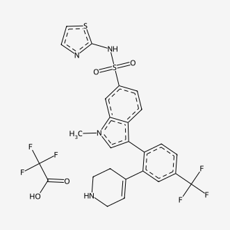 Cn1cc(-c2ccc(C(F)(F)F)cc2C2=CCNCC2)c2ccc(S(=O)(=O)Nc3nccs3)cc21.O=C(O)C(F)(F)F